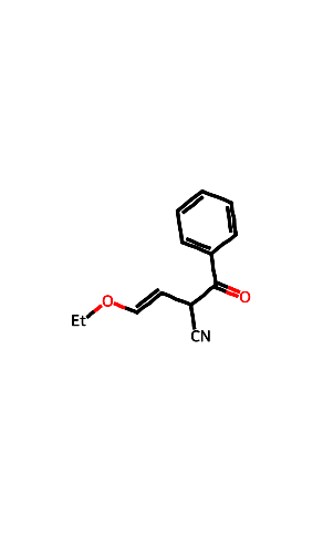 CCOC=CC(C#N)C(=O)c1ccccc1